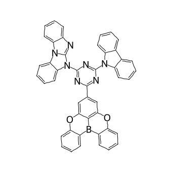 c1ccc2c(c1)Oc1cc(-c3nc(-n4c5ccccc5c5ccccc54)nc(-n4c5ccccc5n5c6ccccc6nc45)n3)cc3c1B2c1ccccc1O3